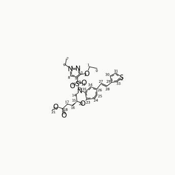 CCOc1nn(CC)cc1S(=O)(=O)N1C[C@H](CCC(=O)OC)Oc2ccc(/C=C/c3ccsc3)cc21